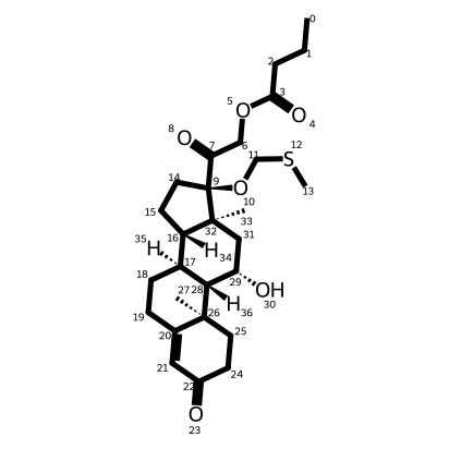 CCCC(=O)OCC(=O)[C@@]1(OCSC)CC[C@H]2[C@@H]3CCC4=CC(=O)CC[C@]4(C)[C@H]3[C@@H](O)C[C@@]21C